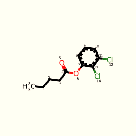 CCCCC(=O)Oc1cccc(Cl)c1Cl